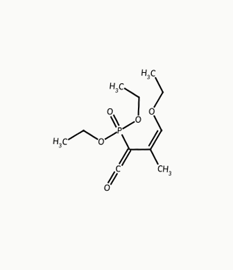 CCOC=C(C)C(=C=O)P(=O)(OCC)OCC